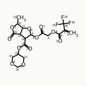 C=C(C(=O)OCC(=O)OC1OC2C(C)OC(=O)C2C1C(=O)OC1COCOC1)C(F)(F)F